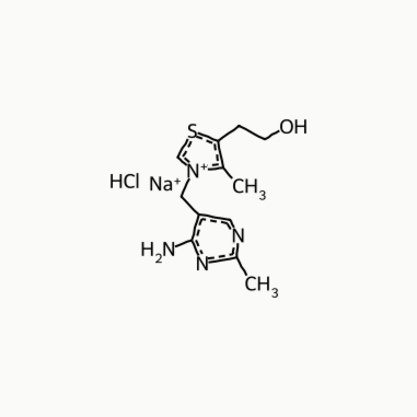 Cc1ncc(C[n+]2csc(CCO)c2C)c(N)n1.Cl.[Na+]